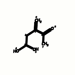 C=C(CC(O)O)C(C)=O